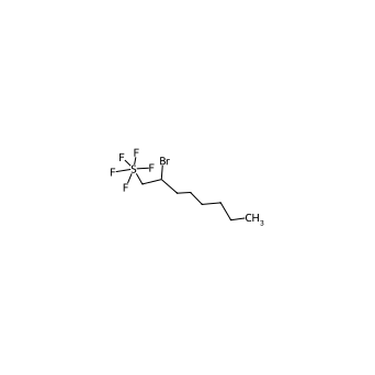 CCCCCCC(Br)CS(F)(F)(F)(F)F